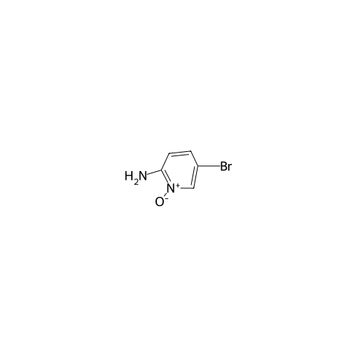 Nc1ccc(Br)c[n+]1[O-]